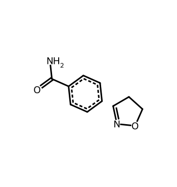 C1=NOCC1.NC(=O)c1ccccc1